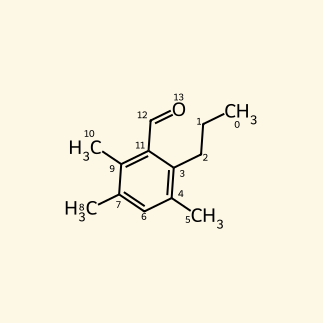 CCCc1c(C)cc(C)c(C)c1C=O